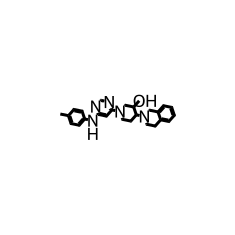 Cc1ccc(Nc2cc(N3CCC(N4CCc5ccccc5C4)C(O)C3)ncn2)cc1